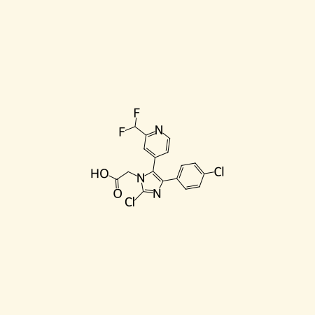 O=C(O)Cn1c(Cl)nc(-c2ccc(Cl)cc2)c1-c1ccnc(C(F)F)c1